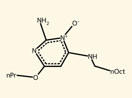 CCCCCCCCCNc1cc(OCCC)nc(N)[n+]1[O-]